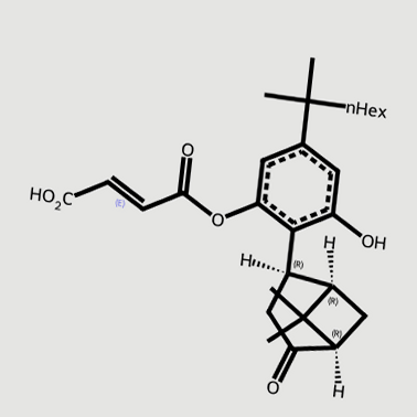 CCCCCCC(C)(C)c1cc(O)c([C@@H]2CC(=O)[C@@H]3C[C@H]2C3(C)C)c(OC(=O)/C=C/C(=O)O)c1